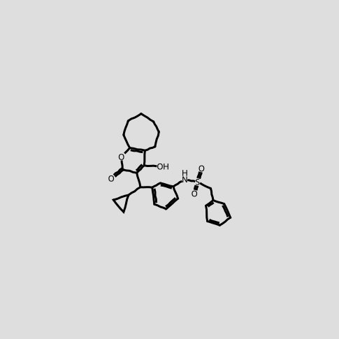 O=c1oc2c(c(O)c1C(c1cccc(NS(=O)(=O)Cc3ccccc3)c1)C1CC1)CCCCCC2